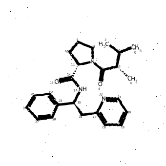 CC(C)[C@H](C)C(=O)N1CCC[C@H]1C(=O)N[C@@H](Cc1ccccn1)c1ccccc1